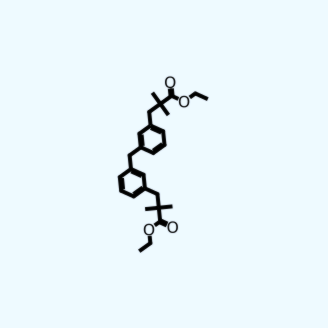 CCOC(=O)C(C)(C)Cc1cccc(Cc2cccc(CC(C)(C)C(=O)OCC)c2)c1